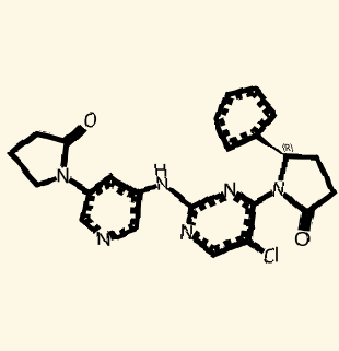 O=C1CCCN1c1cncc(Nc2ncc(Cl)c(N3C(=O)CC[C@@H]3c3ccccc3)n2)c1